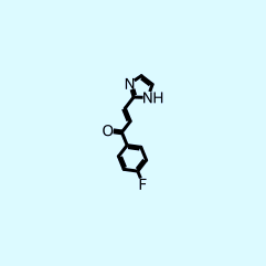 O=C(/C=C/c1ncc[nH]1)c1ccc(F)cc1